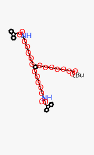 CC(C)(C)OC(=O)COCCOCCOCCOCCOCCOc1cc(OCCOCCOCCOCCOCCNC(=O)OCC2c3ccccc3-c3ccccc32)cc(OCCOCCOCCOCCOCCNC(=O)OCC2c3ccccc3-c3ccccc32)c1